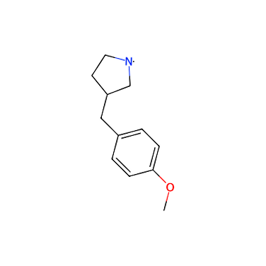 COc1ccc(CC2CC[N]C2)cc1